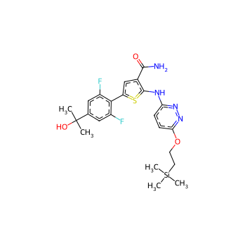 CC(C)(O)c1cc(F)c(-c2cc(C(N)=O)c(Nc3ccc(OCC[Si](C)(C)C)nn3)s2)c(F)c1